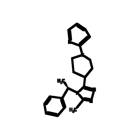 Cc1nnc(C2CCN(c3ccccn3)CC2)n1[C@@H](C)c1ccccc1